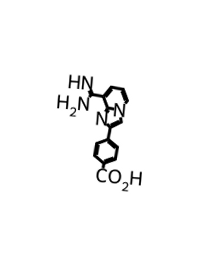 N=C(N)c1cccn2cc(-c3ccc(C(=O)O)cc3)nc12